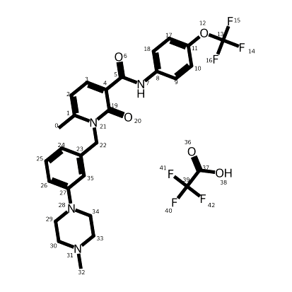 Cc1ccc(C(=O)Nc2ccc(OC(F)(F)F)cc2)c(=O)n1Cc1cccc(N2CCN(C)CC2)c1.O=C(O)C(F)(F)F